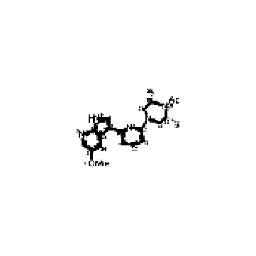 COc1cnc2[nH]cc(-c3cccc(N4C[C@@H](C)N(C(C)=O)[C@@H](C)C4)n3)c2c1